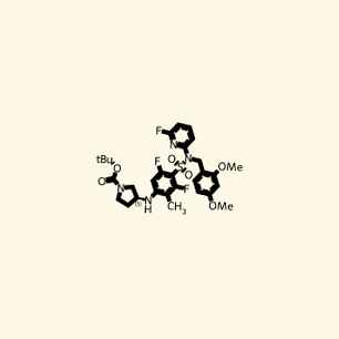 COc1ccc(CN(c2cccc(F)n2)S(=O)(=O)c2c(F)cc(N[C@H]3CCN(C(=O)OC(C)(C)C)C3)c(C)c2F)c(OC)c1